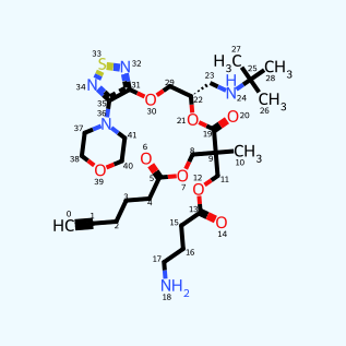 C#CCCCC(=O)OCC(C)(COC(=O)CCCN)C(=O)O[C@@H](CNC(C)(C)C)COc1nsnc1N1CCOCC1